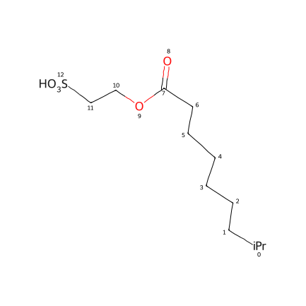 CC(C)CCCCCCC(=O)OCCS(=O)(=O)O